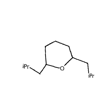 CC(C)CC1CCCC(CC(C)C)O1